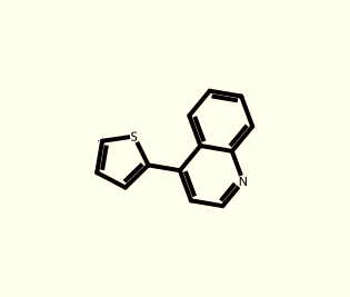 [c]1ccc(-c2ccnc3ccccc23)s1